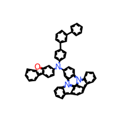 c1ccc(-c2cccc(-c3ccc(N(c4ccc5c(c4)oc4ccccc45)c4ccc5c(c4)n4c6ccccc6c6ccc7c8ccccc8n5c7c64)cc3)c2)cc1